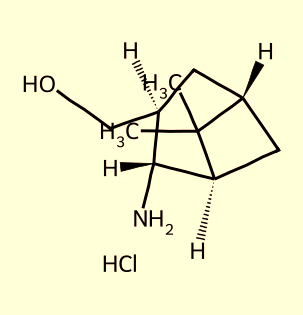 CC1(C)[C@@H]2C[C@H](CO)[C@@H](N)[C@@H]1C2.Cl